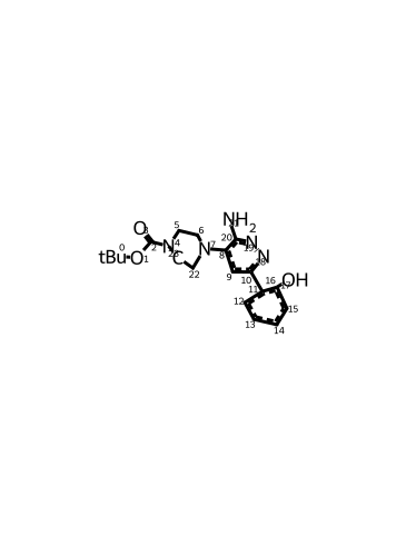 CC(C)(C)OC(=O)N1CCN(c2cc(-c3ccccc3O)nnc2N)CC1